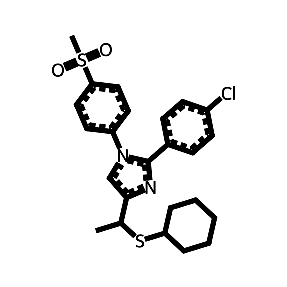 CC(SC1CCCCC1)c1cn(-c2ccc(S(C)(=O)=O)cc2)c(-c2ccc(Cl)cc2)n1